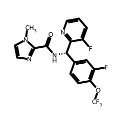 Cn1ccnc1C(=O)N[C@@H](c1ccc(OC(F)(F)F)c(F)c1)c1ncccc1F